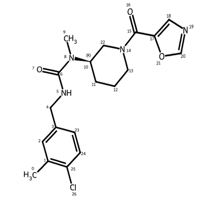 Cc1cc(CNC(=O)N(C)[C@@H]2CCCN(C(=O)c3cnco3)C2)ccc1Cl